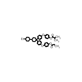 C=CC(=O)Oc1ccc(Oc2ccc(C3(c4ccc(Oc5ccc(OC(=O)C(=C)C)cc5)cc4)CCC(C4CCC(CC)CC4)CC3)cc2)cc1